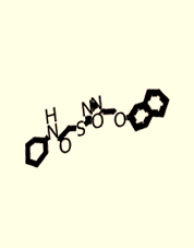 O=C(CSc1nnc(COc2ccc3ccccc3c2)o1)NC1CCCCC1